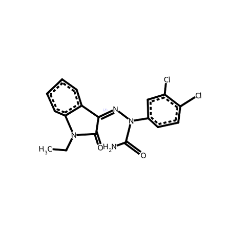 CCN1C(=O)/C(=N\N(C(N)=O)c2ccc(Cl)c(Cl)c2)c2ccccc21